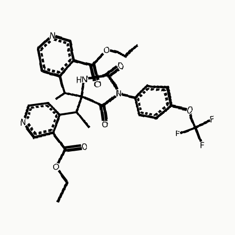 CCOC(=O)c1cnccc1C(C)C1(C(C)c2ccncc2C(=O)OCC)NC(=O)N(c2ccc(OC(F)(F)F)cc2)C1=O